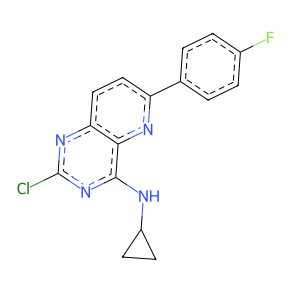 Fc1ccc(-c2ccc3nc(Cl)nc(NC4CC4)c3n2)cc1